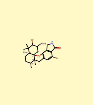 CNC1C[C@@]23Oc4c(cc(Br)c5c4CNC5=O)C[C@]2(C)[C@@H](C)CC[C@H]3C(C)(C)C1Br